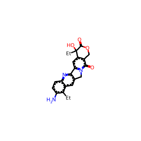 CCc1c(N)ccc2nc3c(cc12)Cn1c-3cc2c(c1=O)COC(=O)C2(O)CC